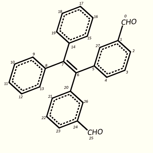 O=Cc1cccc(C(=C(c2ccccc2)c2ccccc2)c2cccc(C=O)c2)c1